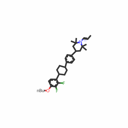 C/C=C/N1C(C)(C)CC(c2ccc(C3CCC(c4ccc(OCCCC)c(F)c4F)CC3)cc2)CC1(C)C